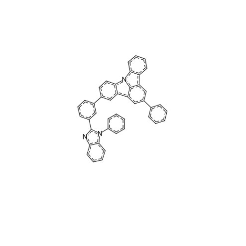 c1ccc(-c2cc3c4ccccc4n4c5ccc(-c6cccc(-c7nc8ccccc8n7-c7ccccc7)c6)cc5c(c2)c34)cc1